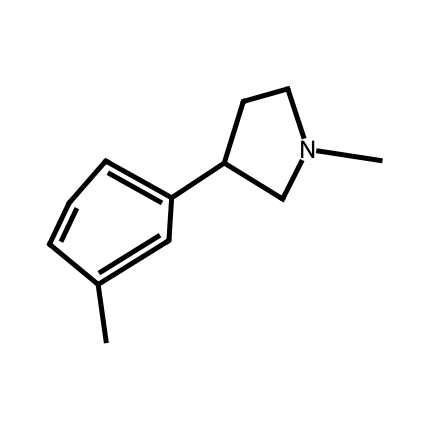 Cc1cccc(C2CCN(C)C2)c1